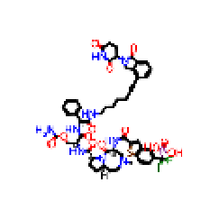 CN1CC[C@H]2CC[C@@H](C(=O)N[C@@H](COC(N)=O)C(=O)N[C@H](C(=O)NCCCCCC#Cc3cccc4c3CN(C3CCC(=O)NC3=O)C4=O)c3ccccc3)N2C(=O)[C@@H](NC(=O)c2cc3cc(C(F)(F)P(=O)(O)O)ccc3s2)C1